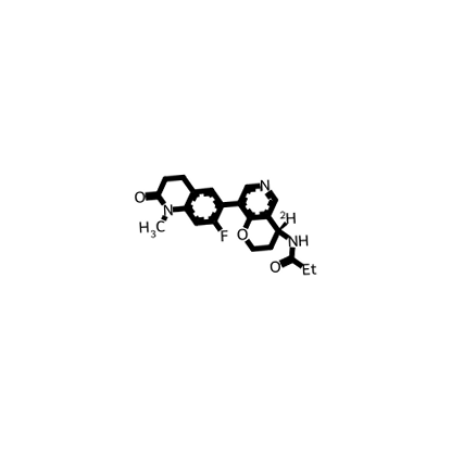 [2H][C@@]1(NC(=O)CC)CCOc2c(-c3cc4c(cc3F)N(C)C(=O)CC4)cncc21